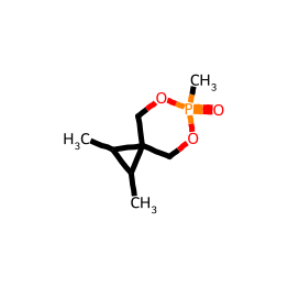 CC1C(C)C12COP(C)(=O)OC2